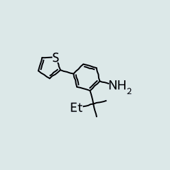 CCC(C)(C)c1cc(-c2cccs2)ccc1N